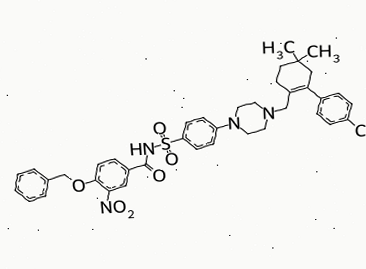 CC1(C)CCC(CN2CCN(c3ccc(S(=O)(=O)NC(=O)c4ccc(OCc5ccccc5)c([N+](=O)[O-])c4)cc3)CC2)=C(c2ccc(Cl)cc2)C1